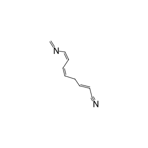 C=N/C=C\C=C/C/C=C/C#N